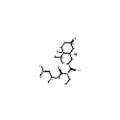 CCN(C(=O)N[C@@H](C)CN(C)C)C(=O)[C@@H]1C[C@@H]2CC(=O)CC[C@H]2N(C)C1